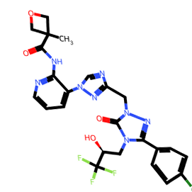 CC1(C(=O)Nc2ncccc2-n2cnc(Cn3nc(-c4ccc(Cl)cc4)n(C[C@H](O)C(F)(F)F)c3=O)n2)COC1